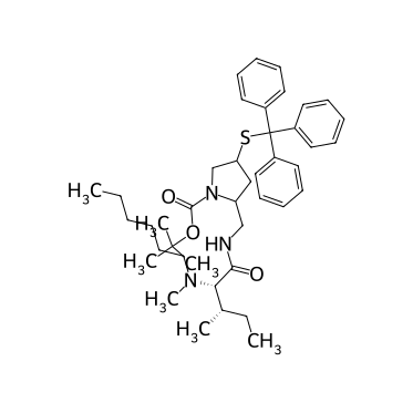 CCCCCCN(C)[C@H](C(=O)NCC1CC(SC(c2ccccc2)(c2ccccc2)c2ccccc2)CN1C(=O)OC(C)(C)C)[C@@H](C)CC